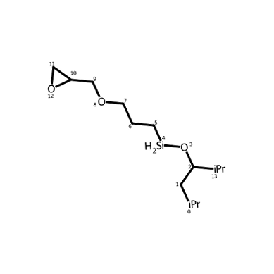 CC(C)CC(O[SiH2]CCCOCC1CO1)C(C)C